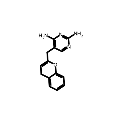 Nc1ncc(CC2=CCc3ccccc3O2)c(N)n1